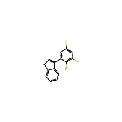 Fc1cc(F)c(F)c(C2=C[CH]c3ccccc32)c1